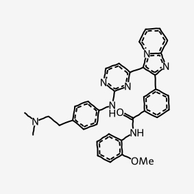 COc1ccccc1NC(=O)c1cccc(-c2nc3ccccn3c2-c2ccnc(Nc3ccc(CCN(C)C)cc3)n2)c1